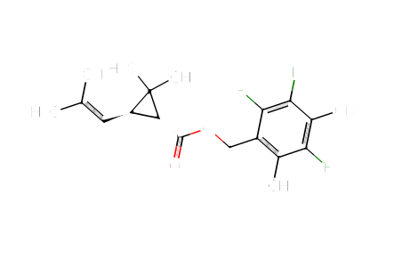 CC(C)=C[C@@H]1[C@@H](C(=O)OCc2c(C)c(F)c(C)c(F)c2F)C1(C)C